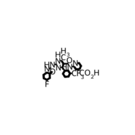 CC1=C(C(=O)Nc2cc(C(=O)O)ccn2)C(c2cccc(C(F)(F)F)c2)N=C(Nc2nc3ccc(F)cc3o2)N1